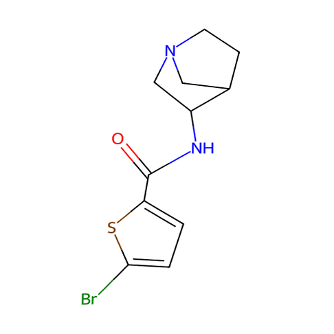 O=C(NC1CN2CCC1C2)c1ccc(Br)s1